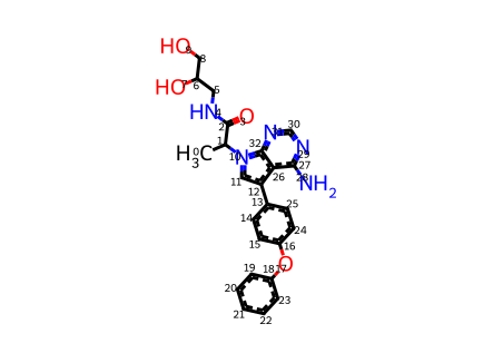 CC(C(=O)NCC(O)CO)n1cc(-c2ccc(Oc3ccccc3)cc2)c2c(N)ncnc21